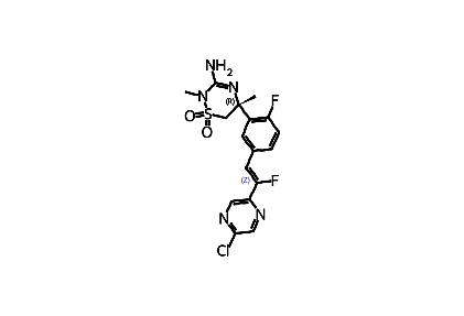 CN1C(N)=N[C@](C)(c2cc(/C=C(\F)c3cnc(Cl)cn3)ccc2F)CS1(=O)=O